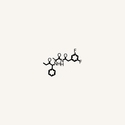 CCC(=O)C(N[C@@H](C)C(=O)NC(=O)Cc1cc(F)cc(F)c1)c1ccccc1